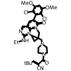 CCNc1ncc2cc(-c3c(Cl)c(OC)cc(OC)c3Cl)c(=O)n(CC3(CN4CCN(C(=O)C(C#N)=CC(C)(C)C)CC4)CC3)c2n1